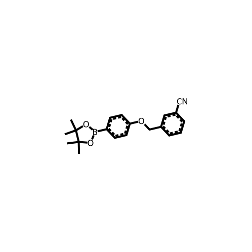 CC1(C)OB(c2ccc(OCc3cccc(C#N)c3)cc2)OC1(C)C